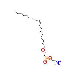 CCCCCCCC/C=C\CCCCCCCCOCC[PH](=O)OCC[N+](C)(C)C